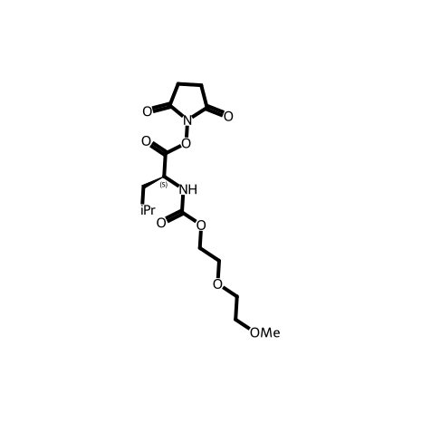 COCCOCCOC(=O)N[C@@H](CC(C)C)C(=O)ON1C(=O)CCC1=O